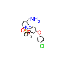 NCC1=C[N+](c2ccc(Oc3ccc(Cl)cc3)cc2)(S(=O)(=O)C(F)(F)F)CC=C1